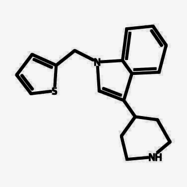 c1csc(Cn2cc(C3CCNCC3)c3ccccc32)c1